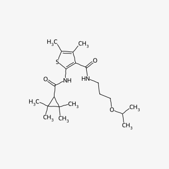 Cc1sc(NC(=O)C2C(C)(C)C2(C)C)c(C(=O)NCCCOC(C)C)c1C